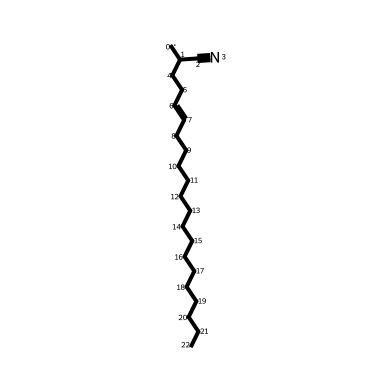 [CH2]C(C#N)CCC=CCCCCCCCCCCCCCCC